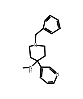 CNC1(c2cccnc2)CCN(Cc2ccccc2)CC1